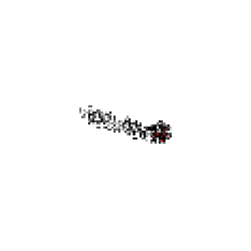 C=C[Si](C)(C)O[Si](=O)[Si](=O)[Si](=O)[Si](=O)[Si](=O)[Si](=O)[Si](=O)[Si](=O)[Si](=O)[Si](=O)[Si](=O)[Si](=O)[Si](=O)[Si](=O)[Si](=O)[Si](=O)[Si](=O)[Si](=O)[Si](=O)[Si](=O)[Si](=O)[Si](=O)[Si](=O)[Si](=O)[Si](=O)[Si](=O)[Si](=O)[Si](=O)[Si](=O)[Si](=O)[Si](=O)[Si](=O)[Si](=O)[Si](=O)[Si](=O)[Si](=O)[SiH]=O